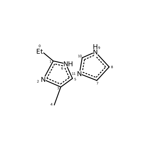 CCc1nc(C)c[nH]1.c1c[nH]cn1